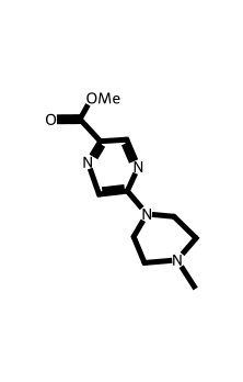 COC(=O)c1cnc(N2CCN(C)CC2)cn1